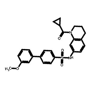 COc1cccc(-c2ccc(S(=O)(=O)Nc3ccc4c(c3)N(C(=O)C3CC3)CCC4)cc2)c1